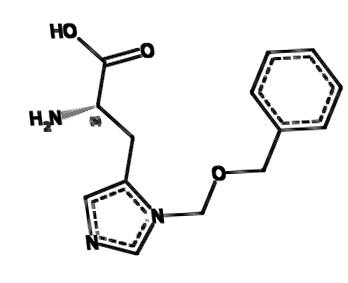 N[C@@H](Cc1cncn1COCc1ccccc1)C(=O)O